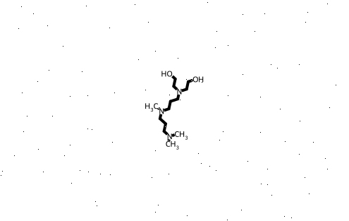 CN(C)CCCN(C)CCCN(CCO)CCO